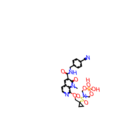 Cn1c(=O)c(C(=O)NCc2ccc(C#N)cc2)cc2ccnc(OCC3(S(=O)(=O)N4CO[P](O)(O)OC4)CC3)c21